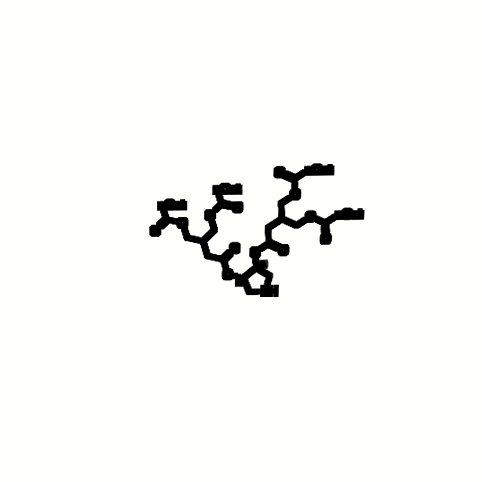 CCCCCCCCC(=O)OCC(COC(=O)CCCCCCCC)CC(=O)O[C@H]1CNC[C@@H]1OC(=O)CC(COC(=O)CCCCCCCC)COC(=O)CCCCCCCC